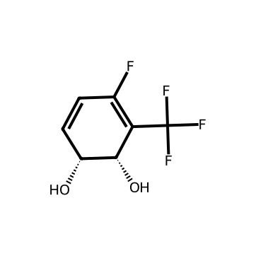 O[C@@H]1C=CC(F)=C(C(F)(F)F)[C@@H]1O